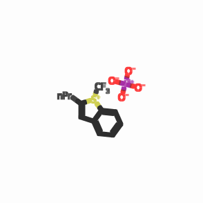 CCCc1cc2ccccc2[s+]1C(F)(F)F.[O-][I+3]([O-])([O-])[O-]